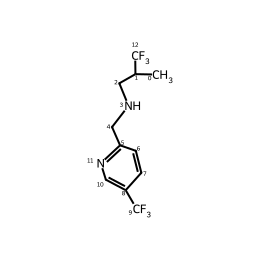 CC(CNCc1ccc(C(F)(F)F)cn1)C(F)(F)F